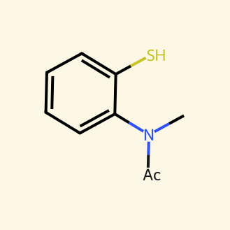 CC(=O)N(C)c1ccccc1S